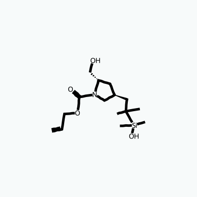 C=CCOC(=O)N1C[C@H](CC(C)(C)[Si](C)(C)O)C[C@H]1CO